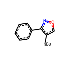 CCCCc1conc1-c1ccccc1